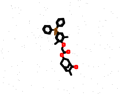 Cc1cc([SH](c2ccccc2)c2ccccc2)cc(C)c1OCC(=O)OC1CC2=CC(C)C(=O)C(C2)C1